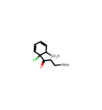 CCCCCCCCCCCC(=O)C1(Cl)C=CC=CC1S(=O)(=O)O